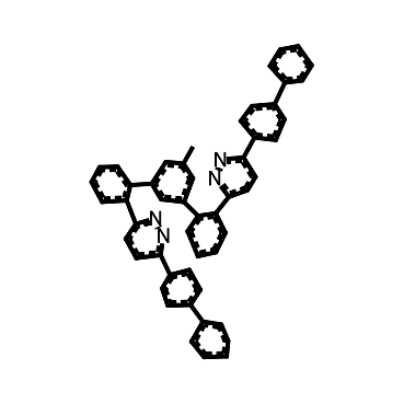 Cc1cc(-c2ccccc2-c2ccc(-c3ccc(-c4ccccc4)cc3)nn2)cc(-c2ccccc2-c2ccc(-c3ccc(-c4ccccc4)cc3)nn2)c1